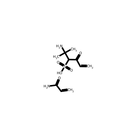 C=CC(=O)C(C(C)(C)N)S(=O)(=O)O.C=CC(N)=O